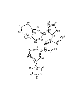 O=c1ccn(-c2ccnc(N3CCOCC3)c2)nc1C1CC=NN1c1ccc2c(c1)CCCO2